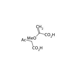 C=C(OC)C(=O)O.CC(=O)CC(=O)O